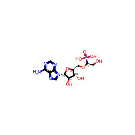 Nc1ncnc2c1ncn2[C@@H]1O[C@H](CO[C@H](CO)P(=O)(O)O)[C@H](O)[C@H]1O